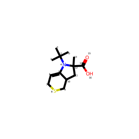 CC(C)(C)N1C2=CCSCC2CC1(C)C(=O)O